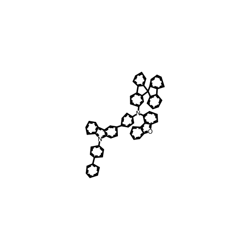 c1ccc(-c2ccc(-n3c4ccccc4c4cc(-c5ccc(N(c6ccc7c(c6)C6(c8ccccc8-c8ccccc86)c6ccccc6-7)c6cccc7oc8ccccc8c67)cc5)ccc43)cc2)cc1